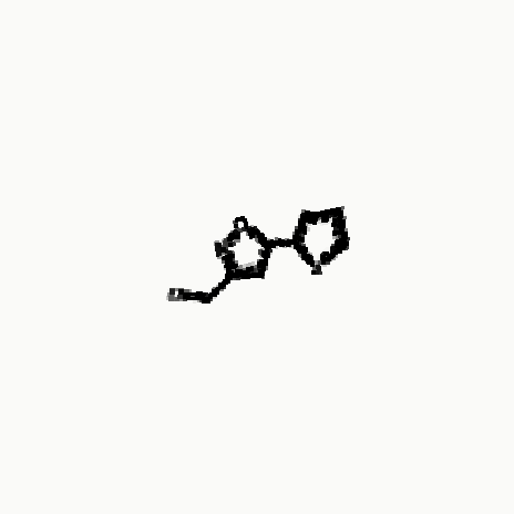 O=Cc1cc(-c2cccs2)on1